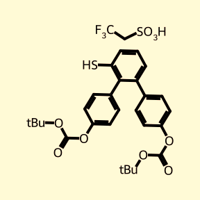 CC(C)(C)OC(=O)Oc1ccc(-c2cccc(S)c2-c2ccc(OC(=O)OC(C)(C)C)cc2)cc1.O=S(=O)(O)CC(F)(F)F